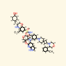 Cc1ccccc1[C@@H]1COCCN1C1CC2(CCN(c3ccc(C(=O)NS(=O)(=O)c4cc5c(c([N+](=O)[O-])c4)N[C@H](CC4CCC(O)CC4)CO5)c(N4c5cc6cc[nH]c6nc5O[C@H]5COCC[C@@H]54)c3)CC2)C1